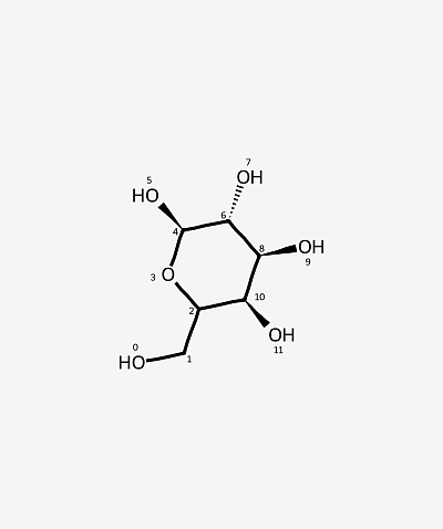 OCC1O[C@@H](O)[C@H](O)[C@@H](O)[C@H]1O